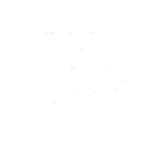 Nc1nc(N)c(Cl)c(NC(c2nc3c(F)ccc(Cl)c3c(=O)n2-c2cc[nH]n2)C2CC2)n1